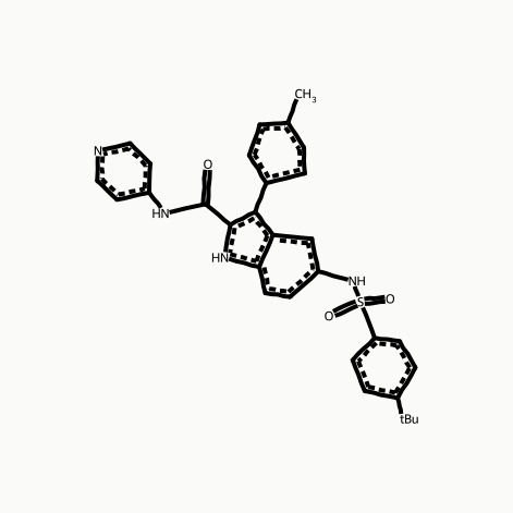 Cc1ccc(-c2c(C(=O)Nc3ccncc3)[nH]c3ccc(NS(=O)(=O)c4ccc(C(C)(C)C)cc4)cc23)cc1